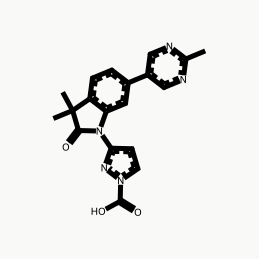 Cc1ncc(-c2ccc3c(c2)N(c2ccn(C(=O)O)n2)C(=O)C3(C)C)cn1